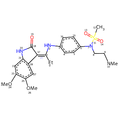 CC/C(Nc1ccc(N(CCNC)S(C)(=O)=O)cc1)=C1/C(=O)Nc2cc(OC)c(OC)cc21